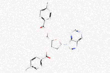 Cc1ccc(C(=O)OC[C@H]2O[C@@H](n3cnc4cncnc43)C[C@@H]2OC(=O)c2ccc(C)cc2)cc1